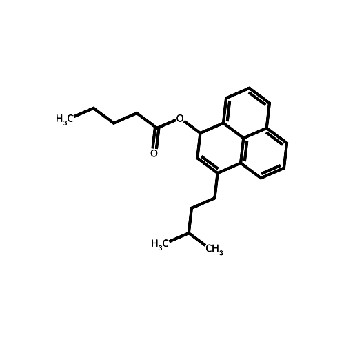 CCCCC(=O)OC1C=C(CCC(C)C)c2cccc3cccc1c23